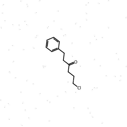 O=C(CCCCl)CCc1ccccc1